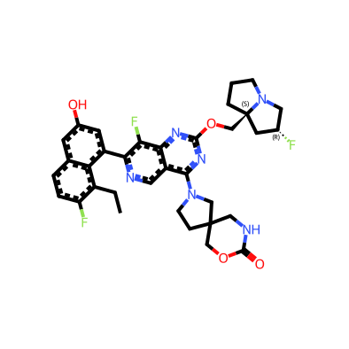 CCc1c(F)ccc2cc(O)cc(-c3ncc4c(N5CCC6(CNC(=O)OC6)C5)nc(OC[C@@]56CCCN5C[C@H](F)C6)nc4c3F)c12